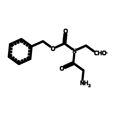 NCC(=O)N(C[C]=O)C(=O)OCc1ccccc1